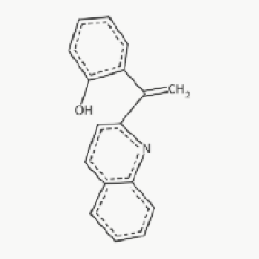 C=C(c1ccc2ccccc2n1)c1ccccc1O